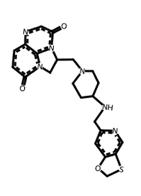 O=c1ccc2ncc(=O)n3c2n1CC3CN1CCC(NCc2cc3c(cn2)SCO3)CC1